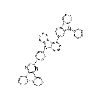 c1ccc(-n2c3ccccc3c3ccc(-c4cccc5c4c4ccccc4n5-c4ccc(-c5cnc6c7ccccc7c7ccccc7c6n5)cc4)cc32)cc1